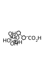 O=C(O)Cc1cccc(-c2ccccc2OC2O[C@H](CO)C(O)C(O)[C@@H]2O)c1